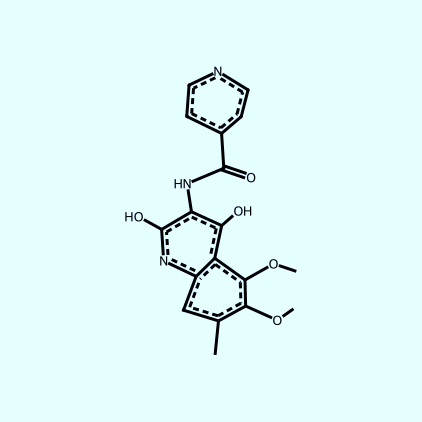 COc1c(C)cc2nc(O)c(NC(=O)c3ccncc3)c(O)c2c1OC